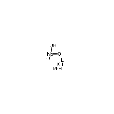 [KH].[LiH].[O]=[Nb](=[O])[OH].[RbH]